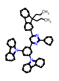 CCCC1(CCC)c2ccccc2-c2ccc(-c3cc(-c4cc(-n5c6ccccc6c6ccccc65)cc(-n5c6ccccc6c6ccccc65)c4)nc(-c4ccccc4)n3)cc21